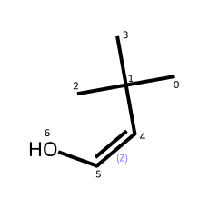 CC(C)(C)/C=C\O